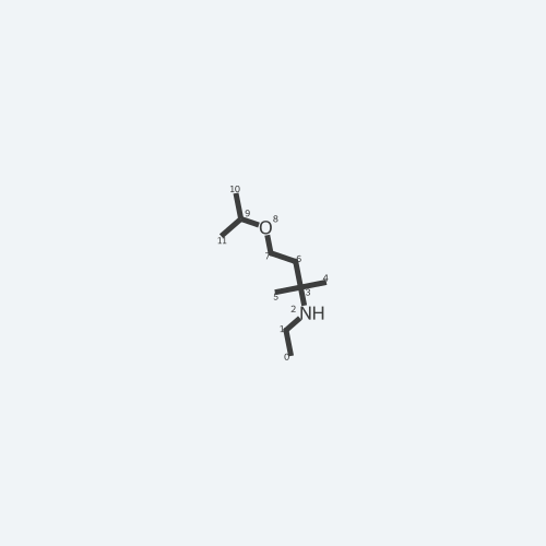 CCNC(C)(C)CCOC(C)C